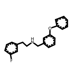 Fc1cccc(CCNCc2cccc(Oc3ccccc3)c2)c1